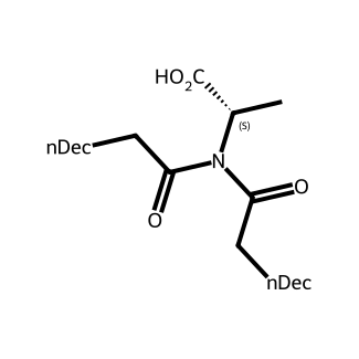 CCCCCCCCCCCC(=O)N(C(=O)CCCCCCCCCCC)[C@@H](C)C(=O)O